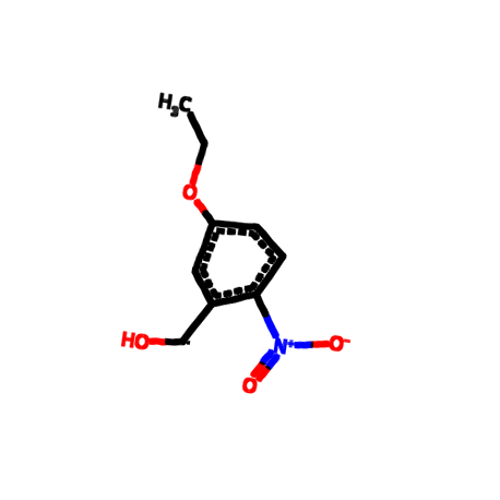 CCOc1ccc([N+](=O)[O-])c([CH]O)c1